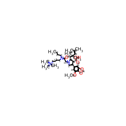 CCCCN(CCCC[N+](C)(C)C)C(=O)CN1C[C@H](c2cc(OC)c3c(c2)OCO3)[C@@H](C(=O)O)[C@@H]1CC(C)(C)C=C(C)C